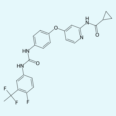 CC(F)(F)c1cc(NC(=O)Nc2ccc(Oc3ccnc(NC(=O)C4CC4)c3)cc2)ccc1F